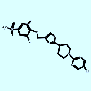 CCc1cnc(N2CCC(c3nc(COc4c(Cl)cc(S(C)(=O)=O)cc4Cl)cs3)CC2)nc1